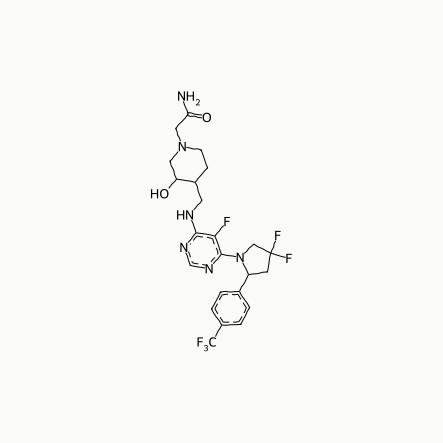 NC(=O)CN1CCC(CNc2ncnc(N3CC(F)(F)CC3c3ccc(C(F)(F)F)cc3)c2F)C(O)C1